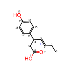 CC/C=C/C(CC(=O)O)c1ccc(O)cc1